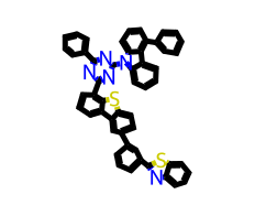 c1ccc(-c2nc(-c3cccc4c3sc3ccc(-c5cccc(-c6nc7ccccc7s6)c5)cc34)nc(-n3c4ccccc4c4c(-c5ccccc5)cccc43)n2)cc1